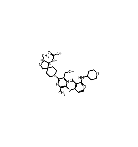 Cc1nc(N2CCC3(CC2)CO[C@@H](C)[C@H]3NC(=O)O)c(CO)nc1Sc1ccnc(NC2CCOCC2)c1Cl